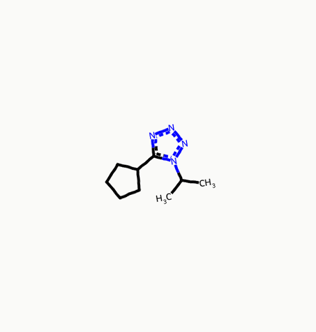 CC(C)n1nnnc1C1CCCC1